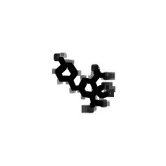 CC1(CCl)C(C(=O)O)=CC(Cc2ccc(Cl)cc2)=CC1C(=O)O